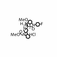 COC(=O)Cn1c2ccccc2c2cc(C(=O)[C@@]3(C)C(=O)N(c4ccc(F)cc4)c4ccc(OC)c(N)c43)ncc21.Cl